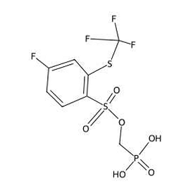 O=P(O)(O)COS(=O)(=O)c1ccc(F)cc1SC(F)(F)F